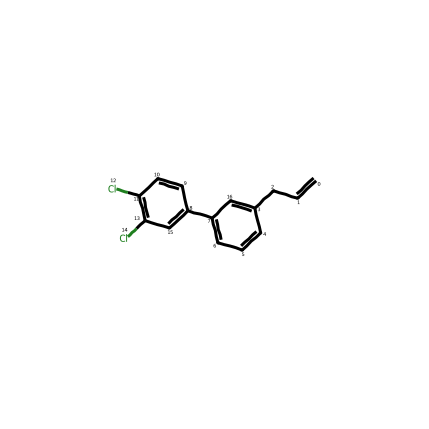 C=CCc1cccc(-c2ccc(Cl)c(Cl)c2)c1